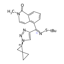 Cn1ccc2c(/C(=N\SC(C)(C)C)c3cn([C@@H]4CC45CC5)nn3)cccc2c1=O